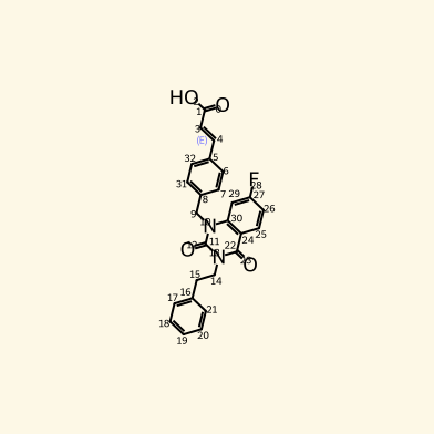 O=C(O)/C=C/c1ccc(Cn2c(=O)n(CCc3ccccc3)c(=O)c3ccc(F)cc32)cc1